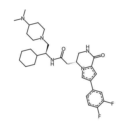 CN(C)C1CCN(C[C@@H](NC(=O)C[C@@H]2CNC(=O)c3cc(-c4ccc(F)c(F)c4)cn32)C2CCCCC2)CC1